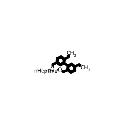 C=Cc1ccc(COCCCCCC)c(-c2cc(COCCCCCCC)ccc2C=C)c1